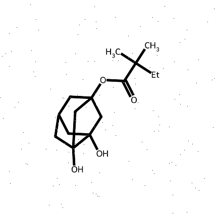 CCC(C)(C)C(=O)OC12CC3CC(O)(C1)C(O)(C3)C2